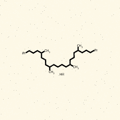 CC(C)CCCC(C)CCCC(C)CCCCC(C)CCCC(C)CCCC(C)C.[HH]